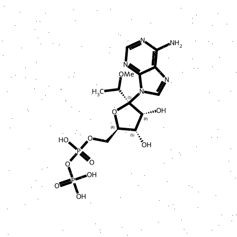 COC(C)[C@@]1(n2cnc3c(N)ncnc32)O[C@H](COP(=O)(O)OP(=O)(O)O)[C@@H](O)[C@H]1O